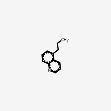 [CH2]CCc1cccc2ncccc12